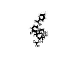 CC1(C)C(NC(=O)O)=N[C@](C)(c2nc(NC(=O)c3ccc(F)cn3)ccc2F)[C@H]2CCN[S@]21O